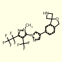 Cn1nc(C(F)(F)C(F)(F)F)c(C(F)(F)F)c1-n1cc(-c2ccc3c(c2)C2(CNC2)OC3)cn1